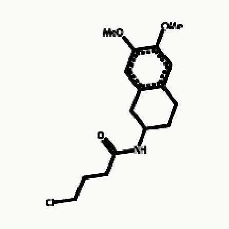 COc1cc2c(cc1OC)CC(NC(=O)CCCCl)CC2